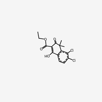 CCOC(=O)C1=C(O)c2ccc(Cl)c(Cl)c2C(C)(C)C1=O